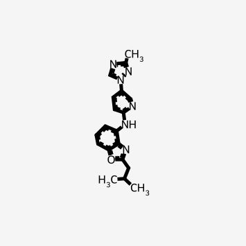 Cc1ncn(-c2ccc(Nc3cccc4oc(CC(C)C)nc34)nc2)n1